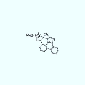 CSC(=S)OC1c2cccc3c4ccccc4c4ncc(n4c23)C1(C)C